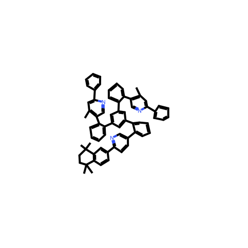 Cc1cc(-c2ccccc2)ncc1-c1ccccc1-c1cc(-c2ccccc2-c2ccc(-c3ccc4c(c3)C(C)(C)CCC4(C)C)nc2)cc(-c2ccccc2-c2cnc(-c3ccccc3)cc2C)c1